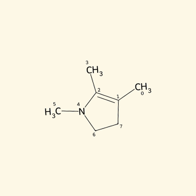 CC1=C(C)N(C)CC1